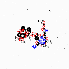 COCCOCC(=O)NCCCC[C@H](NC(=O)COCCOC)C(=O)N[C@H](C)C(=O)N[C@H](C)C(=O)N[C@H](CC(N)=O)C(=O)Nc1ccc(COC(=O)O[C@H](Cc2ccccc2)C(=O)O[C@H]2C[C@@]3(O)[C@@H](OC(=O)c4ccccc4)C4[C@]5(OC(C)=O)COC5C[C@H](O)[C@@]4(C)C(=O)[C@H](OC(C)=O)C(=C2C)C3(C)C)cc1